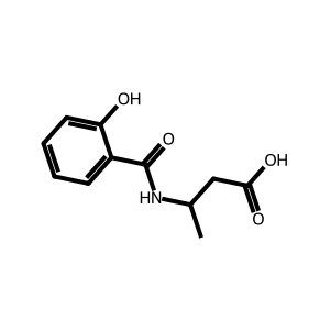 CC(CC(=O)O)NC(=O)c1ccccc1O